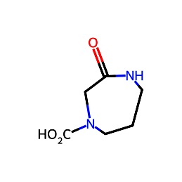 O=C1CN(C(=O)O)CCCN1